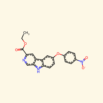 CCOC(=O)c1cc2c(cn1)[nH]c1ccc(Oc3ccc([N+](=O)[O-])cc3)cc12